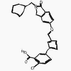 O=C(O)c1cc(-c2cccc(COc3ccc4c(c3)CN(CC3CCCCC3)C4=O)c2)ccc1Cl